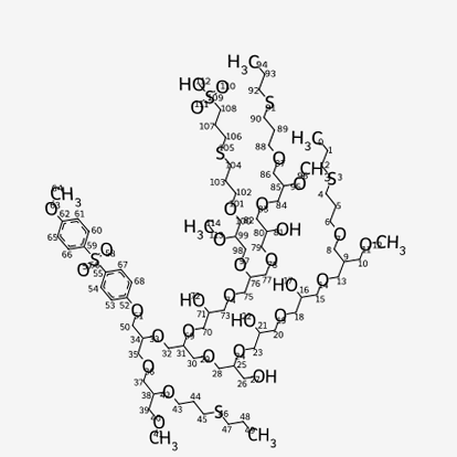 CCCSCCCOCC(COC)COCC(O)COCC(O)COC(CO)COCC(COC(COCC(COC)OCCCSCCC)COc1ccc(S(=O)(=O)c2ccc(OC)cc2)cc1)OCC(O)COCC(COCC(O)COCC(COCCCSCCC)OC)OCC(COCCCSCCCS(=O)(=O)O)OC